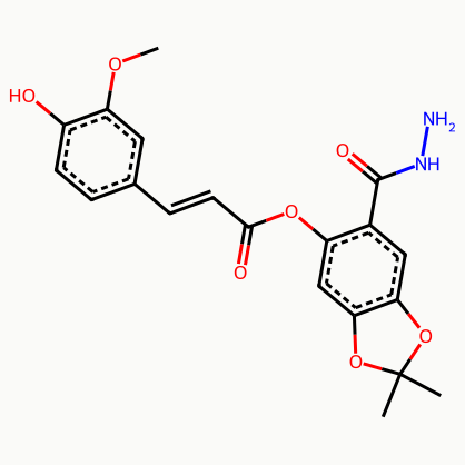 COc1cc(/C=C/C(=O)Oc2cc3c(cc2C(=O)NN)OC(C)(C)O3)ccc1O